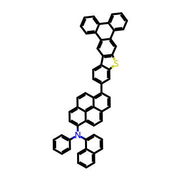 c1ccc(N(c2cccc3ccccc23)c2ccc3ccc4c(-c5ccc6c(c5)sc5cc7c8ccccc8c8ccccc8c7cc56)ccc5ccc2c3c54)cc1